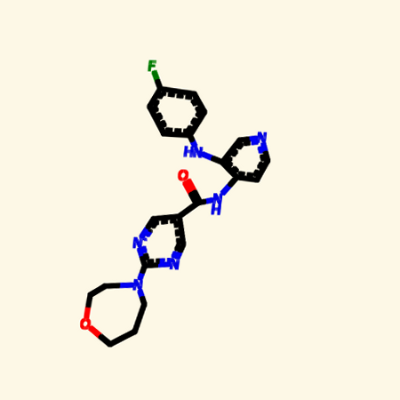 O=C(Nc1ccncc1Nc1ccc(F)cc1)c1cnc(N2CCCOCC2)nc1